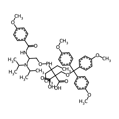 CCC(CC)(POCC(NC(=O)c1ccc(OC)cc1)N(C(C)C)C(C)C)C(COC(c1ccc(OC)cc1)(c1ccc(OC)cc1)c1ccc(OC)cc1)(C(=O)O)C(=O)O